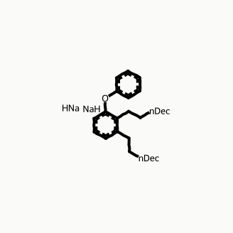 CCCCCCCCCCCCc1cccc(Oc2ccccc2)c1CCCCCCCCCCCC.[NaH].[NaH]